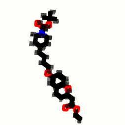 CCOC(=O)CC1CCc2cc(OCCCCC3CCN(C(=O)OC(C)(C)C)CC3)ccc2O1